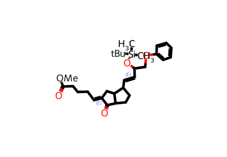 COC(=O)CCC/C=C1\CC2C(/C=C/C(COc3ccccc3)O[Si](C)(C)C(C)(C)C)CCC2C1=O